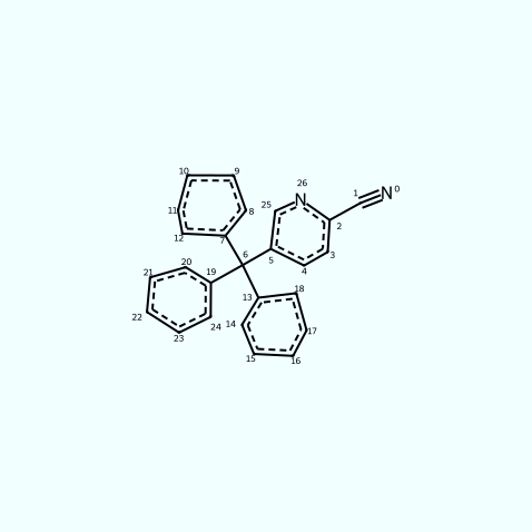 N#Cc1ccc(C(c2ccccc2)(c2ccccc2)c2ccccc2)cn1